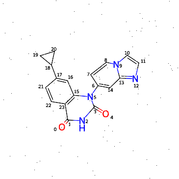 O=c1[nH]c(=O)n(-c2ccn3ccnc3c2)c2cc(C3CC3)ccc12